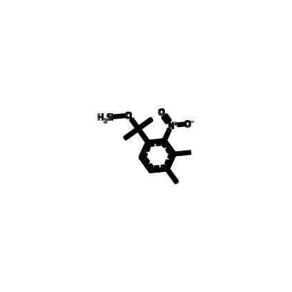 Cc1ccc(C(C)(C)O[SiH3])c([N+](=O)[O-])c1C